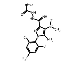 CCCCCCC(=O)NNC(=N)c1nn(-c2c(Cl)cc(C(F)(F)F)cc2Cl)c(N)c1[S+](C)[O-]